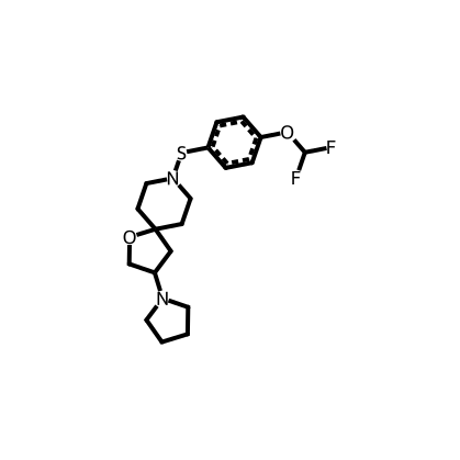 FC(F)Oc1ccc(SN2CCC3(CC2)CC(N2CCCC2)CO3)cc1